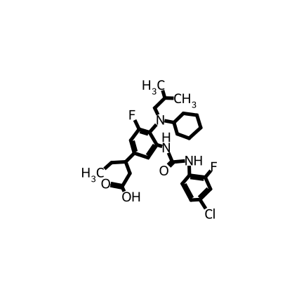 CCC(CC(=O)O)c1cc(F)c(N(CC(C)C)C2CCCCC2)c(NC(=O)Nc2ccc(Cl)cc2F)c1